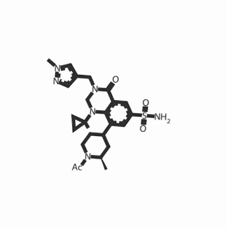 CC(=O)N1CCC(c2cc(S(N)(=O)=O)cc3c2N(C2(C)CC2)CN(Cc2cnn(C)c2)C3=O)C[C@H]1C